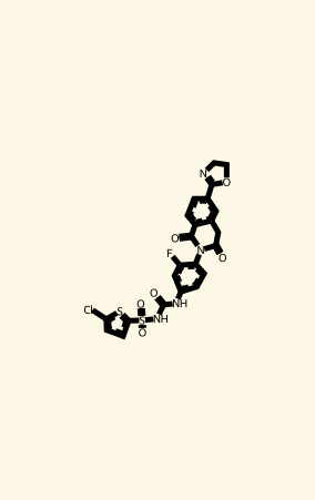 O=C(Nc1ccc(N2C(=O)Cc3cc(C4=NCCO4)ccc3C2=O)c(F)c1)NS(=O)(=O)c1ccc(Cl)s1